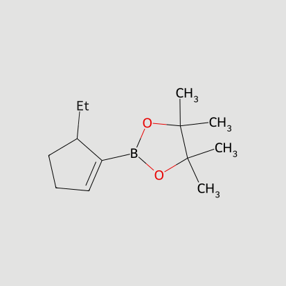 CCC1CCC=C1B1OC(C)(C)C(C)(C)O1